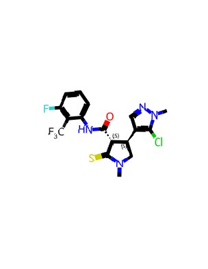 CN1C[C@H](c2cnn(C)c2Cl)[C@@H](C(=O)Nc2cccc(F)c2C(F)(F)F)C1=S